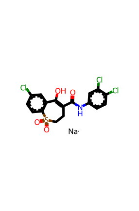 O=C(Nc1ccc(Cl)c(Cl)c1)C1=C(O)c2cc(Cl)ccc2S(=O)(=O)CC1.[Na]